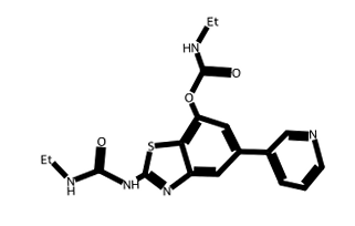 CCNC(=O)Nc1nc2cc(-c3cccnc3)cc(OC(=O)NCC)c2s1